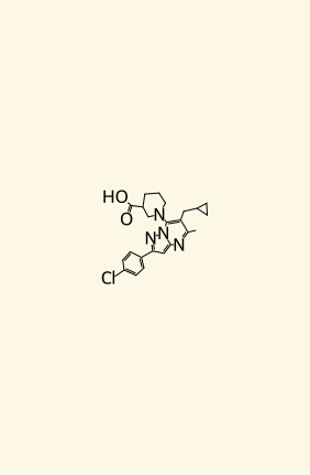 Cc1nc2cc(-c3ccc(Cl)cc3)nn2c(N2CCCC(C(=O)O)C2)c1CC1CC1